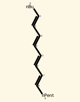 [CH2]CCCC=CC=CC=CC=CCCCCC